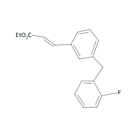 CCOC(=O)/C=C/c1cccc(Cc2ccccc2F)c1